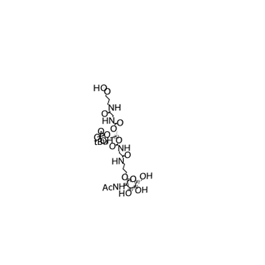 CC(=O)N[C@H]1[C@H](OCCCNC(=O)CNC(=O)O[C@@H](COC(=O)NCC(=O)NCCCOO)COP(=O)(O)OC(C)(C)C)O[C@H](CO)[C@H](O)[C@@H]1O